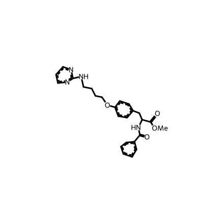 COC(=O)C(Cc1ccc(OCCCCNc2ncccn2)cc1)NC(=O)c1ccccc1